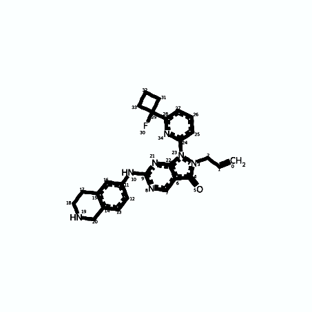 C=CCn1c(=O)c2cnc(Nc3ccc4c(c3)CCNC4)nc2n1-c1cccc(C2(F)CCC2)n1